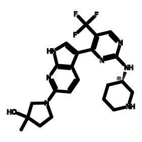 CC1(O)CCN(c2ccc3c(-c4nc(N[C@H]5CCCNC5)ncc4C(F)(F)F)c[nH]c3n2)C1